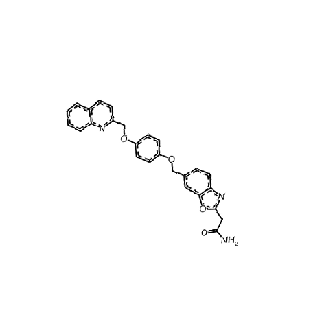 NC(=O)Cc1nc2ccc(COc3ccc(OCc4ccc5ccccc5n4)cc3)cc2o1